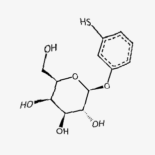 OC[C@H]1O[C@@H](Oc2cccc(S)c2)[C@H](O)[C@@H](O)[C@H]1O